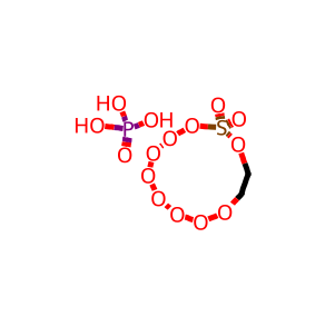 O=P(O)(O)O.O=S1(=O)OCCOOOOOOOO1